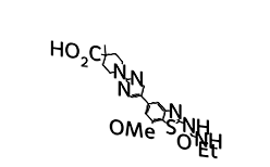 CCNC(=O)Nc1nc2cc(-c3cnc(N4CCC(C)(C(=O)O)CC4)nc3)cc(OC)c2s1